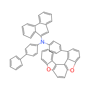 c1ccc(-c2ccc(N(c3ccc(-c4cccc5oc6ccc7oc8ccccc8c7c6c45)cc3)c3cc4ccccc4c4ccccc34)cc2)cc1